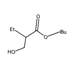 CCC(C)OC(=O)C(CC)CO